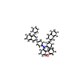 c1ccc(-c2cc(-c3ccc(N(c4cccc(-c5ccc6ccccc6c5)c4)c4cccc5oc6ccccc6c45)cc3)cc3ccccc23)cc1